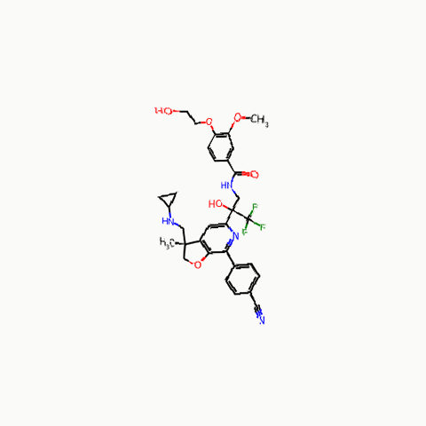 COc1cc(C(=O)NCC(O)(c2cc3c(c(-c4ccc(C#N)cc4)n2)OC[C@]3(C)CNC2CC2)C(F)(F)F)ccc1OCCO